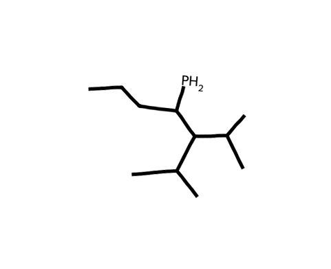 CCCC(P)C(C(C)C)C(C)C